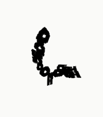 ON(O)c1ccc(NC2CCC(OCC(=S)N3CCN(c4ccccc4)CC3)CC2)cc1C(F)(F)F